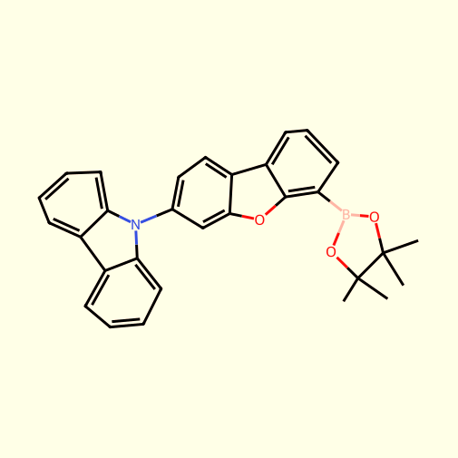 CC1(C)OB(c2cccc3c2oc2cc(-n4c5ccccc5c5ccccc54)ccc23)OC1(C)C